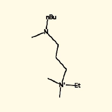 CCCCN(C)CCC[N+](C)(C)CC